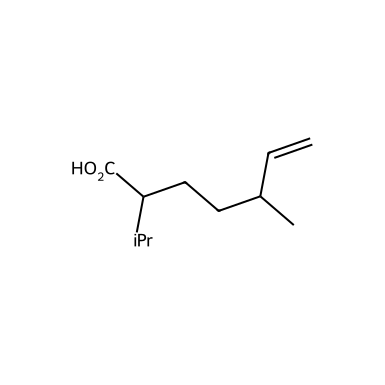 C=CC(C)CCC(C(=O)O)C(C)C